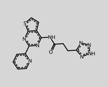 O=C(CCc1nn[nH]n1)Nc1nc(-c2ccccn2)nc2sccc12